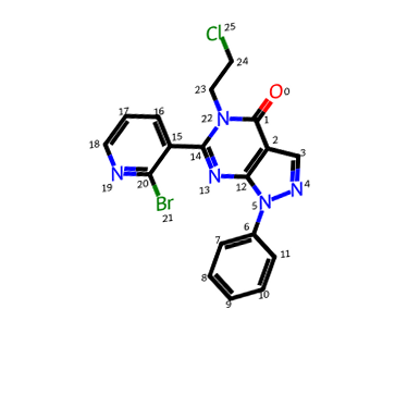 O=c1c2cnn(-c3ccccc3)c2nc(-c2cccnc2Br)n1CCCl